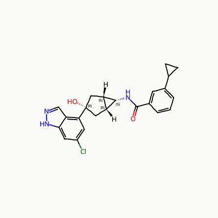 O=C(N[C@@H]1[C@@H]2C[C@@](O)(c3cc(Cl)cc4[nH]ncc34)C[C@@H]21)c1cccc(C2CC2)c1